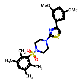 COc1cc(OC)cc(-c2csc(N3CCN(S(=O)(=O)c4c(C)c(C)cc(C)c4C)CC3)n2)c1